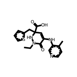 CCN1NC(Cc2cccs2)(C(=O)O)C=C(Nc2cnccc2C)C1=O